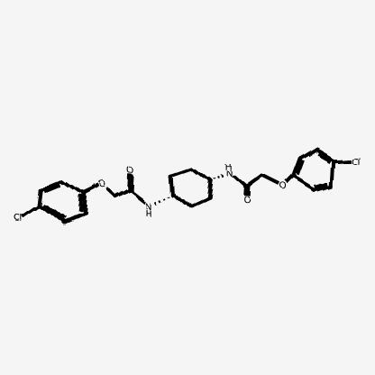 O=C(COc1ccc(Cl)cc1)N[C@H]1CC[C@@H](NC(=O)COc2ccc(Cl)cc2)CC1